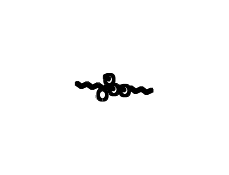 CCCCCOCOC(OC)=C(CCCCC)OC